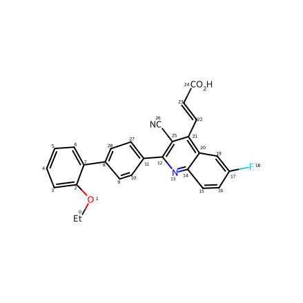 CCOc1ccccc1-c1ccc(-c2nc3ccc(F)cc3c(C=CC(=O)O)c2C#N)cc1